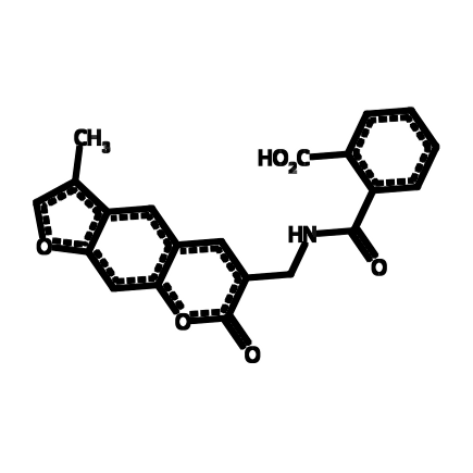 Cc1coc2cc3oc(=O)c(CNC(=O)c4ccccc4C(=O)O)cc3cc12